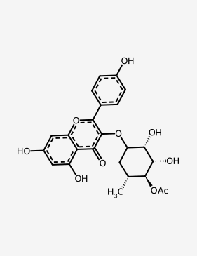 CC(=O)O[C@@H]1[C@@H](O)[C@@H](O)C(Oc2c(-c3ccc(O)cc3)oc3cc(O)cc(O)c3c2=O)C[C@H]1C